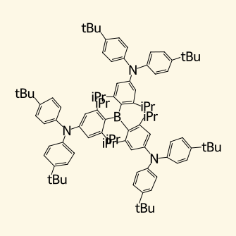 CC(C)c1cc(N(c2ccc(C(C)(C)C)cc2)c2ccc(C(C)(C)C)cc2)cc(C(C)C)c1B(c1c(C(C)C)cc(N(c2ccc(C(C)(C)C)cc2)c2ccc(C(C)(C)C)cc2)cc1C(C)C)c1c(C(C)C)cc(N(c2ccc(C(C)(C)C)cc2)c2ccc(C(C)(C)C)cc2)cc1C(C)C